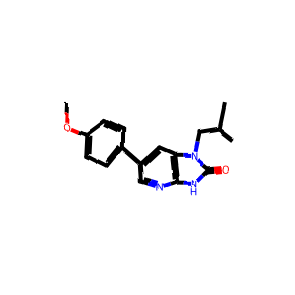 COc1ccc(-c2cnc3[nH]c(=O)n(CC(C)C)c3c2)cc1